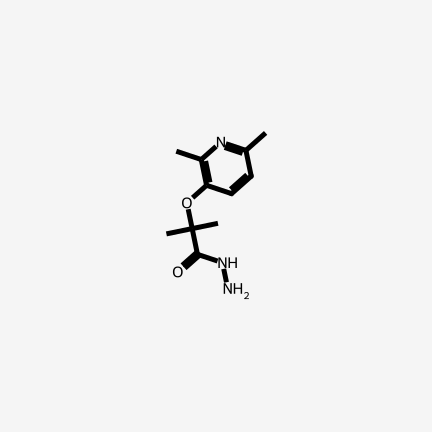 Cc1ccc(OC(C)(C)C(=O)NN)c(C)n1